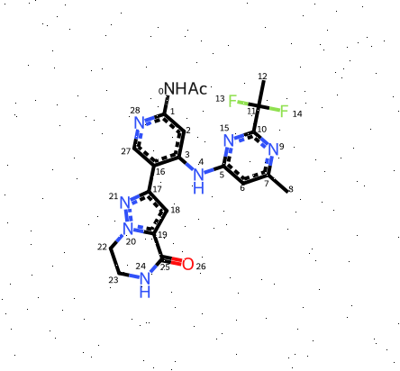 CC(=O)Nc1cc(Nc2cc(C)nc(C(C)(F)F)n2)c(-c2cc3n(n2)CCNC3=O)cn1